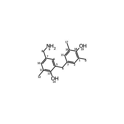 Cc1cc(Cc2cc(CN)cc(C)c2O)cc(C)c1O